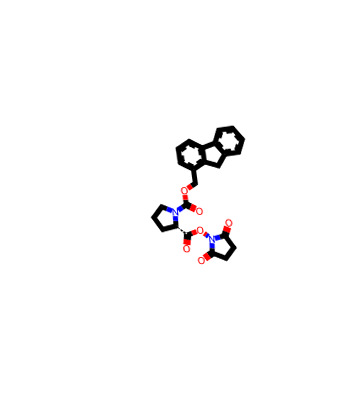 O=C(ON1C(=O)CCC1=O)[C@@H]1CCCN1C(=O)OCc1cccc2c1Cc1ccccc1-2